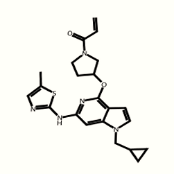 C=CC(=O)N1CCC(Oc2nc(Nc3ncc(C)s3)cc3c2ccn3CC2CC2)C1